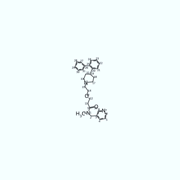 CN(Cc1cccnc1)C(=O)CCOCCN1CCC(c2ccccc2-c2ccccc2)CC1